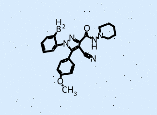 Bc1ccccc1-n1nc(C(=O)NN2CCCCC2)c(C#N)c1-c1ccc(OC)cc1